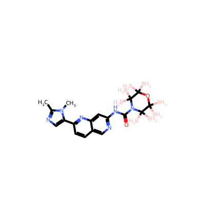 BC1(B)OC(B)(B)C(B)(B)N(C(=O)Nc2cc3nc(-c4cnc(C)n4C)ccc3cn2)C1(B)B